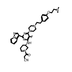 CN(C)CCOc1ccc(CCN2CCN(c3nc(-c4cnn5ccccc45)nc(N[C@@H]4CCCN(C(=O)CC#N)C4)c3F)CC2)cc1